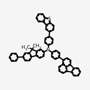 CC1(C)c2cc(-c3ccccc3)ccc2-c2ccc(N(c3ccc(-c4ccc5sc6ccccc6c5c4)cc3)c3ccc(-c4ccc5c6c(cccc46)-c4ccccc4-5)cc3)cc21